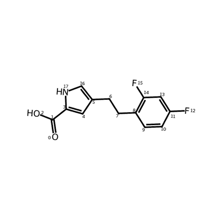 O=C(O)c1cc(CCc2ccc(F)cc2F)c[nH]1